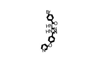 O=C(Nc1nnc(-c2ccc(Oc3cccnc3)cc2)[nH]1)c1ccc(Br)cc1